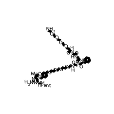 CCCCCNc1nc(N)nc2ccn(Cc3ccc(COCCOCCOCCOCCNC(=O)CNC(=O)[C@H](Cc4ccccc4)NC(=O)CNC(=O)CNC(=O)CCOCCOCCOCCOCCN)cc3OC)c12